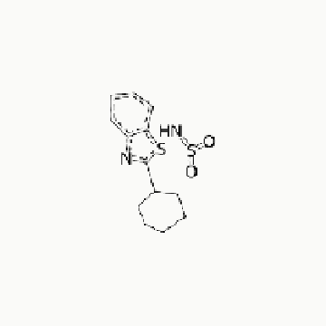 N=S(=O)=O.c1ccc2sc(C3CCCCC3)nc2c1